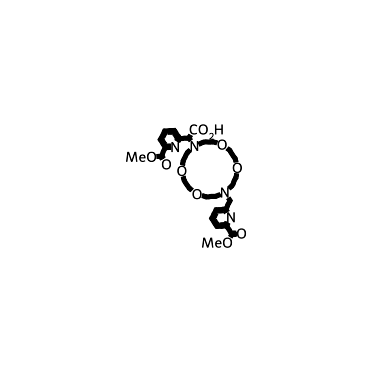 COC(=O)c1cccc(CN2CCOCCOCCN(C(C(=O)O)c3cccc(C(=O)OC)n3)CCOCCOCC2)n1